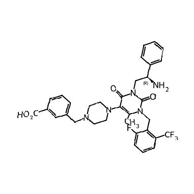 Cc1c(N2CCN(Cc3cccc(C(=O)O)c3)CC2)c(=O)n(C[C@H](N)c2ccccc2)c(=O)n1Cc1c(F)cccc1C(F)(F)F